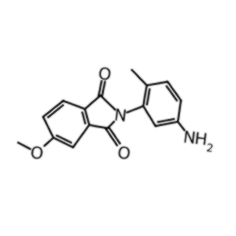 COc1ccc2c(c1)C(=O)N(c1cc(N)ccc1C)C2=O